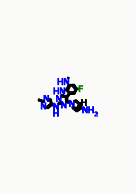 CNc1cc(F)cc2c1[nH]c1nc(Nc3cnc(C)nc3)nc(N3C[C@H]4CC3C[C@H]4N)c12